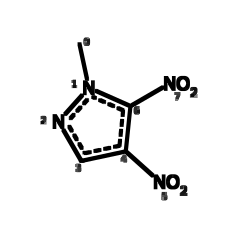 Cn1ncc([N+](=O)[O-])c1[N+](=O)[O-]